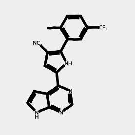 Cc1ccc(C(F)(F)F)cc1-c1[nH]c(-c2ncnc3[nH]ccc23)cc1C#N